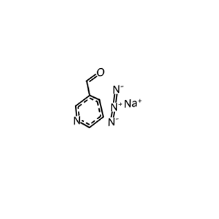 O=Cc1cccnc1.[N-]=[N+]=[N-].[Na+]